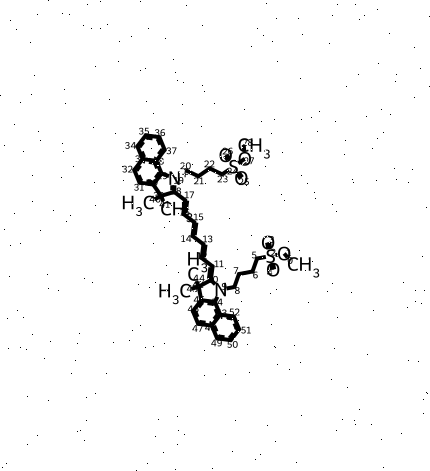 COS(=O)(=O)CCCCN1/C(=C/C=C/C=C/C=C/C2=[N+](CCCCS(=O)(=O)OC)c3c(ccc4ccccc34)C2(C)C)C(C)(C)c2ccc3ccccc3c21